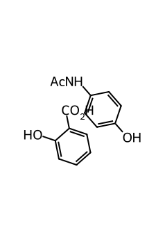 CC(=O)Nc1ccc(O)cc1.O=C(O)c1ccccc1O